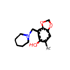 CC(=O)c1cc2c(c(CN3CCCCC3)c1O)OCO2